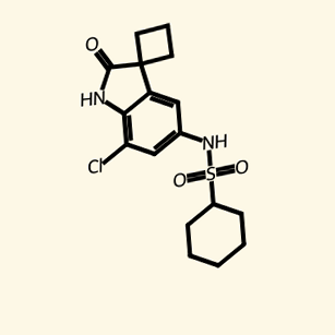 O=C1Nc2c(Cl)cc(NS(=O)(=O)C3CCCCC3)cc2C12CCC2